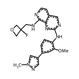 COc1cc(-c2cnn(C)c2)ccc1Nc1ncc2ccnc(NCC3(F)COC3)c2n1